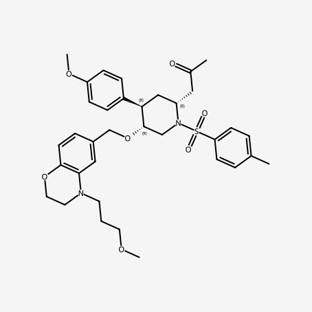 COCCCN1CCOc2ccc(CO[C@H]3CN(S(=O)(=O)c4ccc(C)cc4)[C@@H](CC(C)=O)C[C@@H]3c3ccc(OC)cc3)cc21